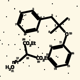 CC(C)(Cc1ccccc1)Oc1ccccc1.CCCC(C(=O)OCC)C(=O)OCC.O